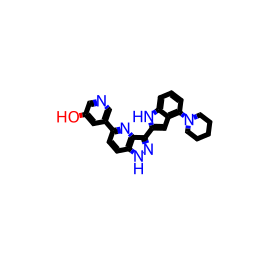 Oc1cncc(-c2ccc3[nH]nc(-c4cc5c(N6CCCCC6)cccc5[nH]4)c3n2)c1